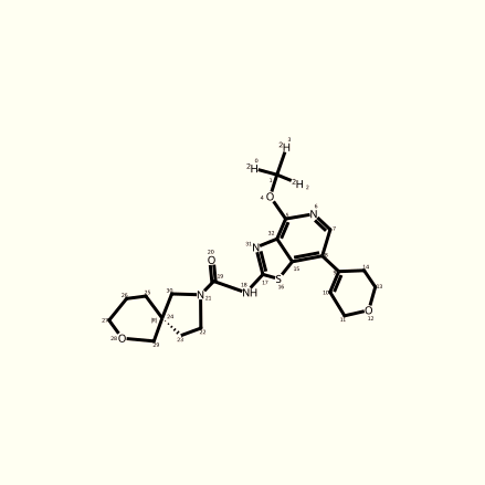 [2H]C([2H])([2H])Oc1ncc(C2=CCOCC2)c2sc(NC(=O)N3CC[C@]4(CCCOC4)C3)nc12